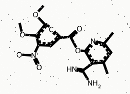 COc1cc(C(=O)Oc2nc(C)cc(C)c2C(=N)N)cc([N+](=O)[O-])c1OC